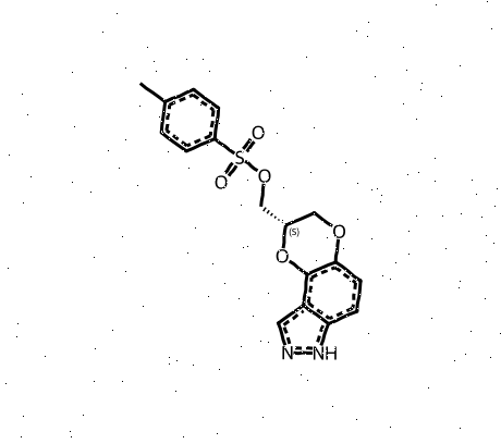 Cc1ccc(S(=O)(=O)OC[C@@H]2COc3ccc4[nH]ncc4c3O2)cc1